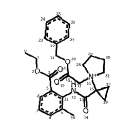 CCOC(=O)c1cccc(C)c1NC(=O)C1([N+]2(CC(=O)OCc3ccccc3)CCCC2)CC1